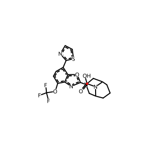 O=C(O)N1C2CCCC1CN(c1nc3c(OC(F)(F)F)ccc(-c4nccs4)c3o1)C2